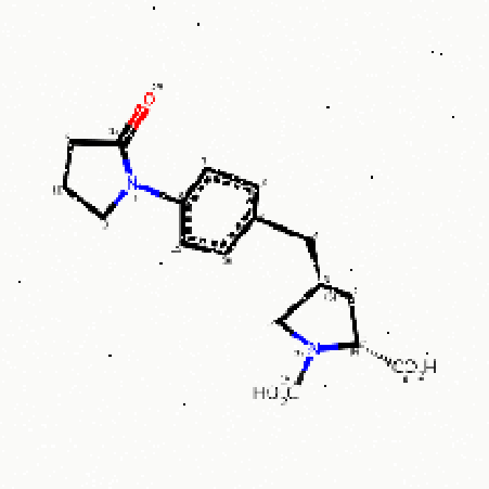 O=C(O)[C@H]1C[C@H](Cc2ccc(N3CCCC3=O)cc2)CN1C(=O)O